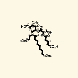 CCCCCCCCCCCCCCCCCC(=O)N(CCCCCCCCCCCC)[C@@H]1O[C@H](CO)[C@@H](O)[C@H](O)[C@H]1NC(=O)[C@H](CO)NC(=O)CCCC(=O)O